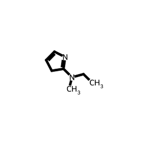 CCN(C)C1=NC=CC1